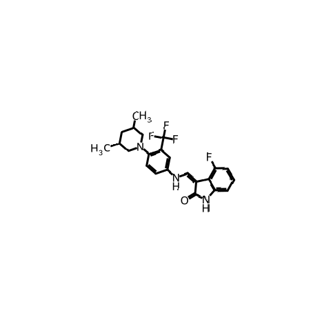 CC1CC(C)CN(c2ccc(NC=C3C(=O)Nc4cccc(F)c43)cc2C(F)(F)F)C1